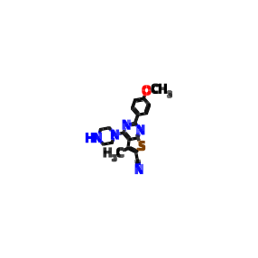 COc1ccc(-c2nc(N3CCNCC3)c3c(C)c(C#N)sc3n2)cc1